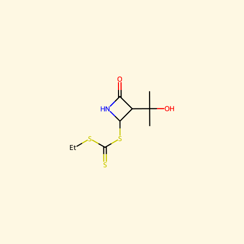 CCSC(=S)SC1NC(=O)C1C(C)(C)O